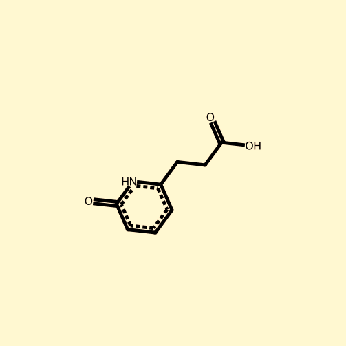 O=C(O)CCc1cccc(=O)[nH]1